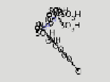 CC1(CCCCS(=O)(=O)O)C(/C=C/C2=C(Oc3ccc(S(=O)(=O)O)cc3)C(=C/C=C3\N4CCCc5ccc(S(=O)(=O)O)c(c54)C3(C)CCCCCC(=O)NCCOCCOCCOCCOCCCCCCCl)/CCC2)=CN2CCc3ccc(S(=O)(=O)O)c1c32